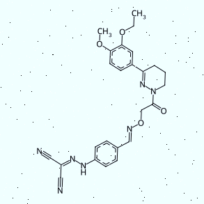 CCOc1cc(C2=NN(C(=O)CON=Cc3ccc(NN=C(C#N)C#N)cc3)CCC2)ccc1OC